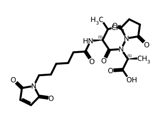 CC(C)[C@H](NC(=O)CCCCCN1C(=O)C=CC1=O)C(=O)N([C@@H](C)C(=O)O)N1C(=O)CCC1=O